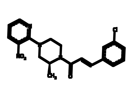 C[C@H]1CN(c2ncccc2[N+](=O)[O-])CCN1C(=O)/C=C/c1cccc(Cl)c1